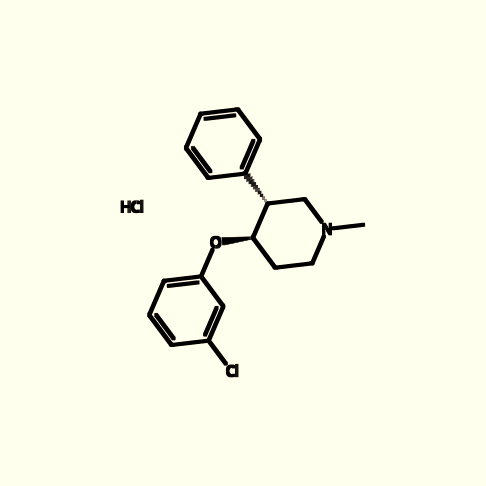 CN1CC[C@@H](Oc2cccc(Cl)c2)[C@H](c2ccccc2)C1.Cl